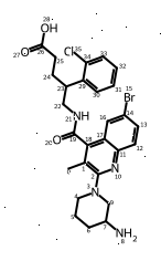 Cc1c(N2CCCC(N)C2)nc2ccc(Br)cc2c1C(=O)NCC(CCC(=O)O)c1ccccc1Cl